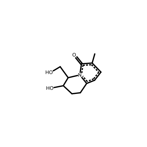 Cc1ccc2n(c1=O)C(CO)C(O)CC2